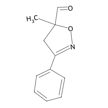 CC1(C=O)CC(c2ccccc2)=NO1